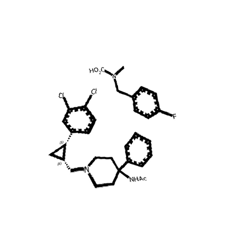 CC(=O)NC1(c2ccccc2)CCN(C[C@@H]2C[C@@H]2c2ccc(Cl)c(Cl)c2)CC1.CN(Cc1ccc(F)cc1)C(=O)O